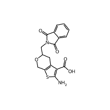 Nc1sc2c(c1C(=O)O)CC(CN1C(=O)c3ccccc3C1=O)OC2